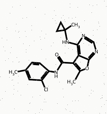 Cc1ccc(NC(=O)c2c(C)oc3ncnc(NC4(C)CC4)c23)c(Cl)c1